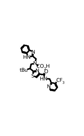 CC(C)(C)C(CN(Cc1nc2ccccc2[nH]1)C(=O)O)c1nc(C(=O)NCc2ncccc2C(F)(F)F)cs1